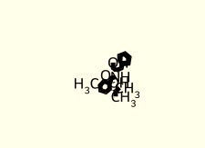 CC(C)[C@@H]1CC[C@@H](C)C[C@@]1(O)C(=O)NC(CO)Cc1ccccc1